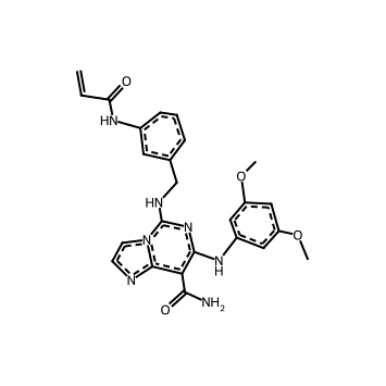 C=CC(=O)Nc1cccc(CNc2nc(Nc3cc(OC)cc(OC)c3)c(C(N)=O)c3nccn23)c1